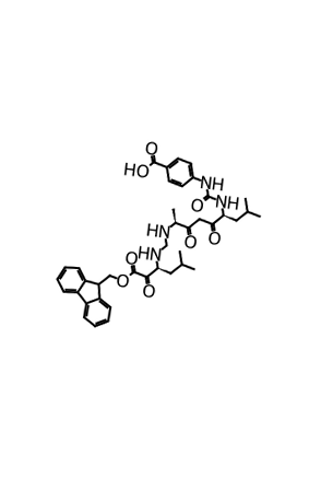 CC(C)C[C@H](NC(=O)Nc1ccc(C(=O)O)cc1)C(=O)CC(=O)[C@H](C)NCN[C@@H](CC(C)C)C(=O)C(=O)OCC1c2ccccc2-c2ccccc21